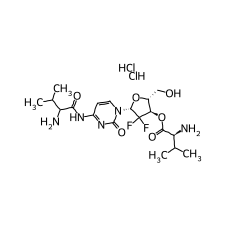 CC(C)C(N)C(=O)Nc1ccn([C@@H]2O[C@H](CO)[C@@H](OC(=O)[C@@H](N)C(C)C)C2(F)F)c(=O)n1.Cl.Cl